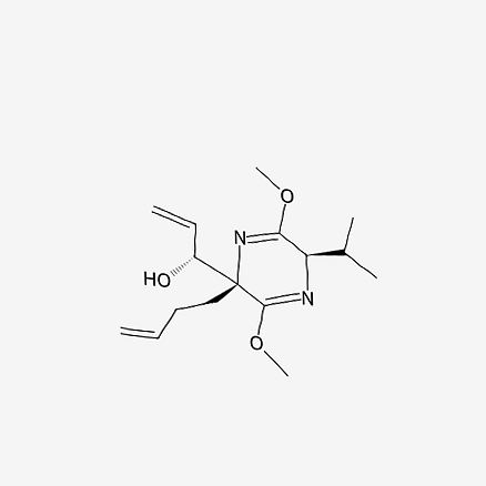 C=CCC[C@@]1([C@H](O)C=C)N=C(OC)[C@@H](C(C)C)N=C1OC